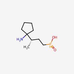 C[C@@H](CC[PH](=O)O)C1(N)CCCC1